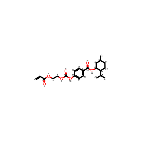 C=CC(=O)OCCOC(=O)Oc1ccc(C(=O)OC2CC(C)CCC2C(C)C)cc1